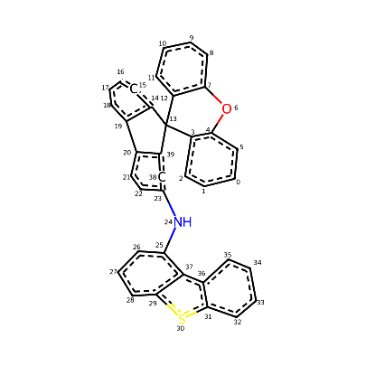 c1ccc2c(c1)Oc1ccccc1C21c2ccccc2-c2ccc(Nc3cccc4sc5ccccc5c34)cc21